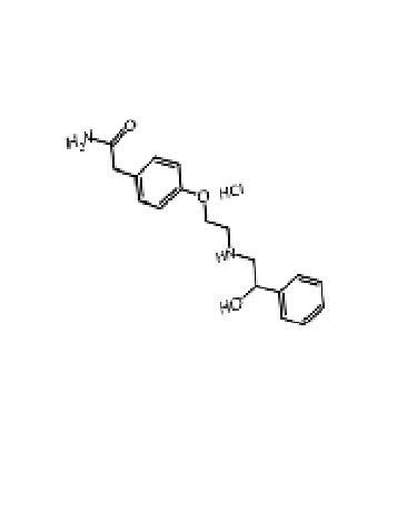 Cl.NC(=O)Cc1ccc(OCCNCC(O)c2ccccc2)cc1